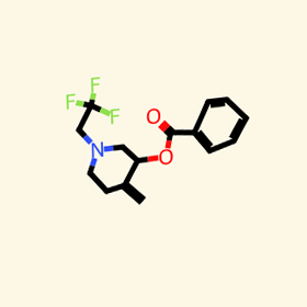 C=C1CCN(CC(F)(F)F)CC1OC(=O)c1ccccc1